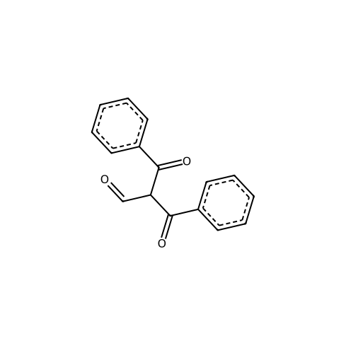 O=CC(C(=O)c1ccccc1)C(=O)c1ccccc1